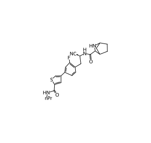 CCCNC(=O)c1cc(-c2ccc(C[C@@H](C#N)NC(=O)C3NC4CCC3C4)c(F)c2)cs1